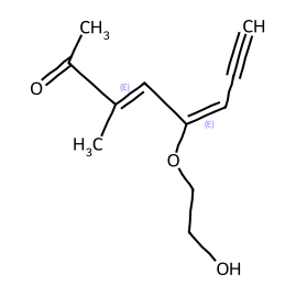 C#C/C=C(\C=C(/C)C(C)=O)OCCO